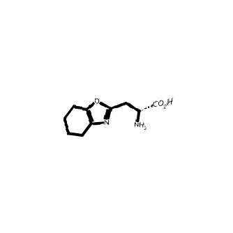 N[C@H](Cc1nc2c(o1)CCCC2)C(=O)O